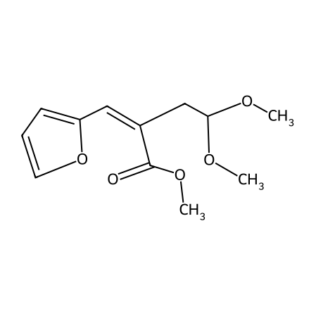 COC(=O)C(=Cc1ccco1)CC(OC)OC